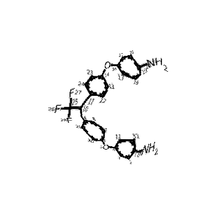 Nc1ccc(Oc2ccc(C(c3ccc(Oc4ccc(N)cc4)cc3)C(F)(F)F)cc2)cc1